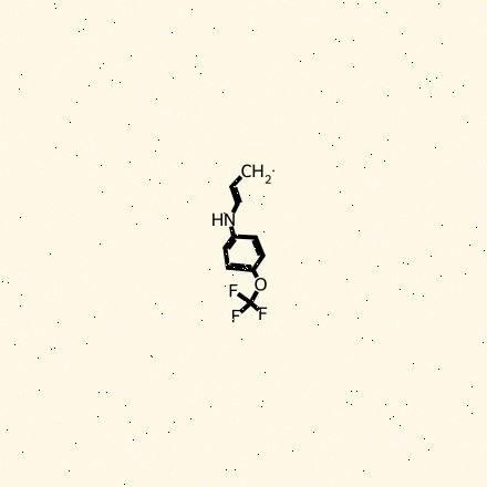 [CH2]C=CNc1ccc(OC(F)(F)F)cc1